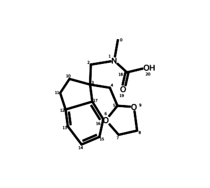 CN(CC1(CC2OCCO2)CCc2ccccc21)C(=O)O